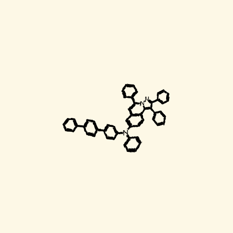 c1ccc(-c2ccc(-c3ccc(N(c4ccccc4)c4ccc5c(c4)cc(-c4ccccc4)n4nc(-c6ccccc6)c(-c6ccccc6)c54)cc3)cc2)cc1